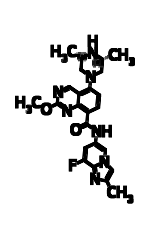 COc1ncc2c(N3C[C@@H](C)N[C@@H](C)C3)ccc(C(=O)Nc3cc(F)c4nc(C)cn4c3)c2n1